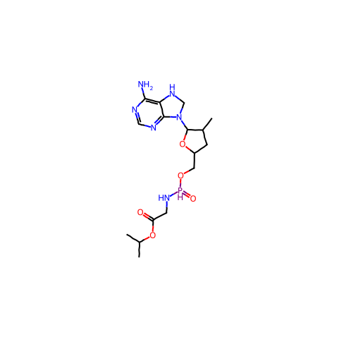 CC(C)OC(=O)CN[PH](=O)OCC1CC(C)C(N2CNc3c(N)ncnc32)O1